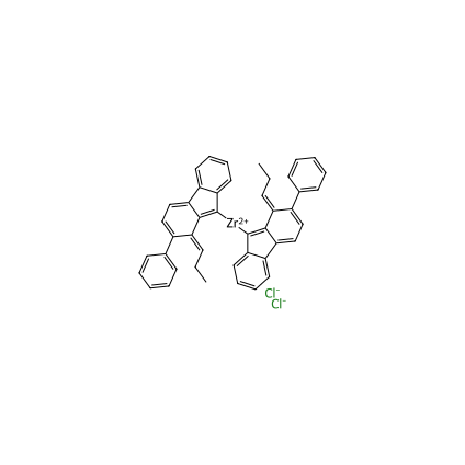 CCC=c1c(-c2ccccc2)ccc2c1=[C]([Zr+2][C]1=c3c(ccc(-c4ccccc4)c3=CCC)-c3ccccc31)c1ccccc1-2.[Cl-].[Cl-]